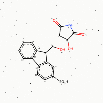 O=C1CC(O)C(=O)N1.O=S(=O)(O)c1ccc2c(c1)C(CO)c1ccccc1-2